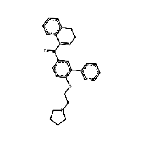 O=C(C1=CCCc2ccccc21)c1ccc(OCCN2CCCC2)c(-c2ccccc2)c1